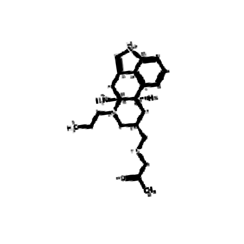 CCCN1C[C@H](CSCC(C)=O)C[C@@H]2c3cccc4[nH]cc(c34)C[C@]21N